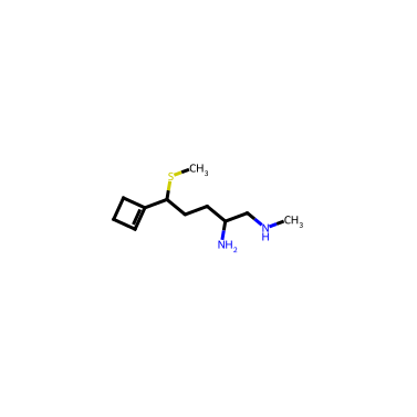 CNCC(N)CCC(SC)C1=CCC1